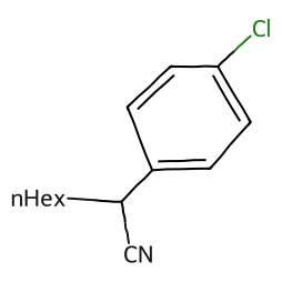 CCCCCCC(C#N)c1ccc(Cl)cc1